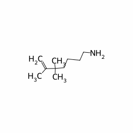 C=C(C)C(C)(C)CCCCN